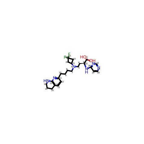 OC(O)[C@H](CCN(CCCCc1ccc2c(n1)NCCC2)C1CC(F)(F)C1)Nc1ccncn1